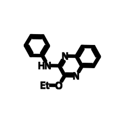 CCOc1nc2ccccc2nc1Nc1ccccc1